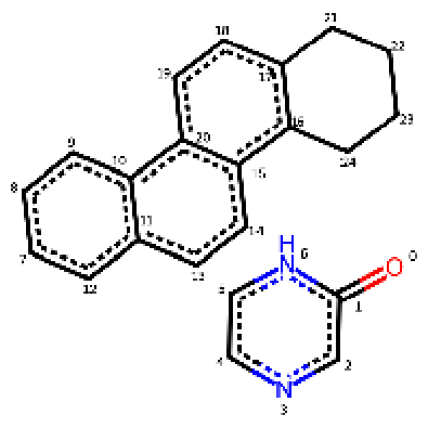 O=c1cncc[nH]1.c1ccc2c(c1)ccc1c3c(ccc12)CCCC3